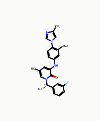 COc1cc(Nc2cc(C#N)cn([C@@H](C)c3cccc(F)c3)c2=O)ccc1-n1cnc(C)c1